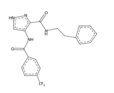 O=C(Nc1c[nH]nc1C(=O)NCCc1ccccc1)c1ccc(C(F)(F)F)cc1